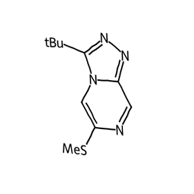 CSc1cn2c(C(C)(C)C)nnc2cn1